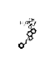 CN(C)C(=O)Oc1cccc2c1CCC1C2CCN1CCc1ccccc1